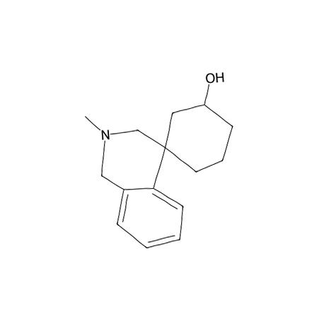 CN1Cc2ccccc2C2(CCCC(O)C2)C1